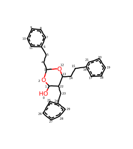 OC1OC(CCc2ccccc2)OC(CCc2ccccc2)C1Cc1ccccc1